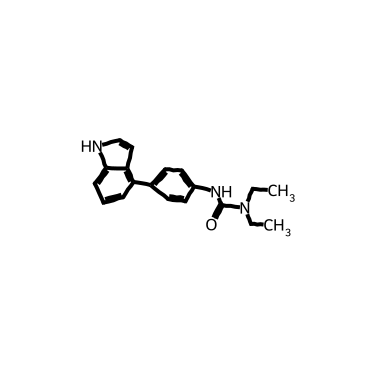 CCN(CC)C(=O)Nc1ccc(-c2cccc3[nH]ccc23)cc1